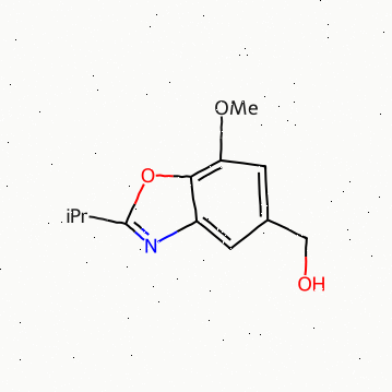 COc1cc(CO)cc2nc(C(C)C)oc12